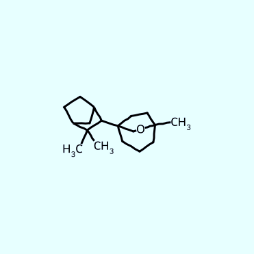 CC12CCCC(C3C4CCC(C4)C3(C)C)(CC1)CO2